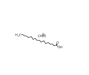 CCCCCCCCCCCCCCCCCC(=O)O.[Cl][Zn].[Zn]